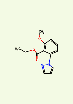 CCOC(=O)c1c(OC)cccc1-n1cccn1